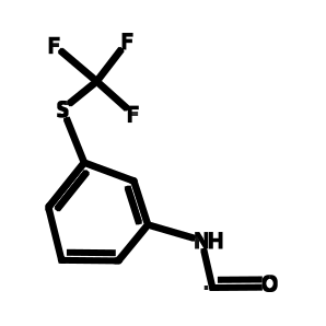 O=[C]Nc1cccc(SC(F)(F)F)c1